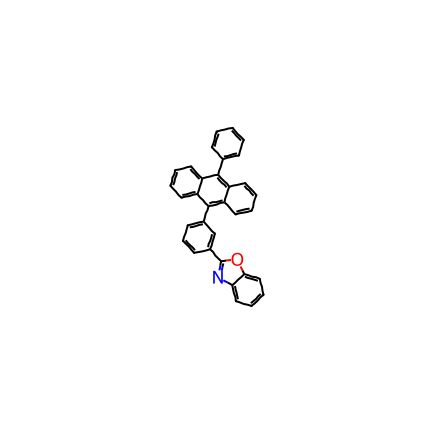 c1ccc(-c2c3ccccc3c(-c3cccc(-c4nc5ccccc5o4)c3)c3ccccc23)cc1